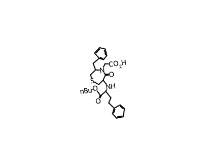 CCCCOC(=O)C(CCc1ccccc1)NC1CSCC(Cc2ccccc2)N(CC(=O)O)C1=O